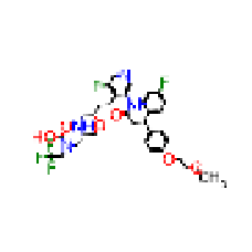 COCCOc1ccc([C@@H](CC(=O)Nc2cncc(F)c2CC[C@@H]2CN[C@@H](CN(CC(F)(F)F)C(=O)O)CO2)c2ccc(F)cc2)cc1